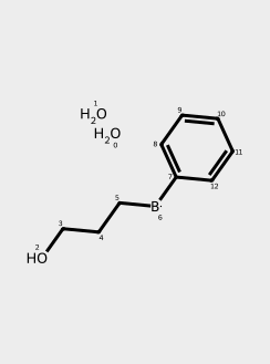 O.O.OCCC[B]c1ccccc1